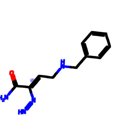 N=N/C(=C\CNCc1ccccc1)C(N)=O